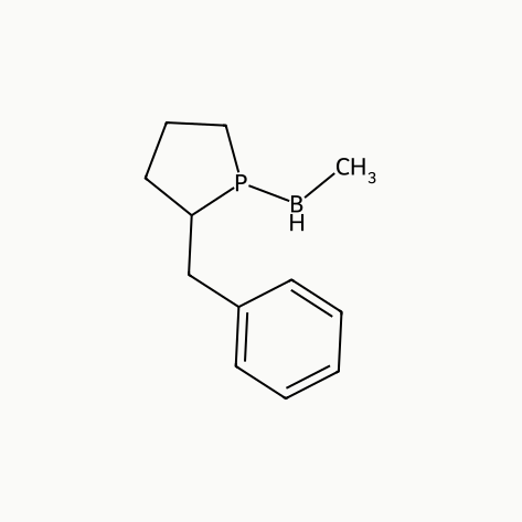 CBP1CCCC1Cc1ccccc1